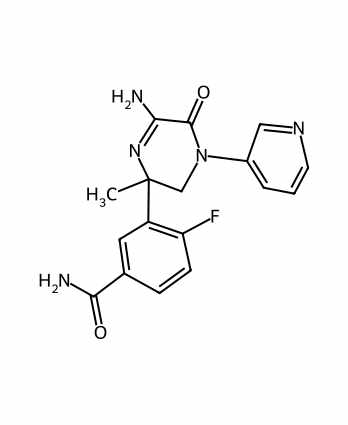 CC1(c2cc(C(N)=O)ccc2F)CN(c2cccnc2)C(=O)C(N)=N1